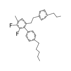 CCCCCc1ccc(-c2c(CCc3ccc(CCC)cc3)cc(C)c(F)c2F)cc1